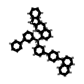 c1ccc(-c2cccc(N(c3cccc(-c4ccc(-c5cccc6ccccc56)cc4)c3)c3cccc4cc5c(nc34)oc3ccccc35)c2)cc1